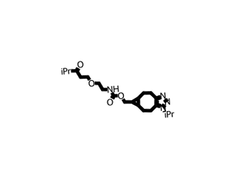 CC(C)C(=O)CCOCCNC(=O)OCC1C2CCc3nnn(C(C)C)c3CCC21